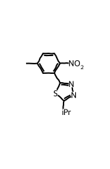 Cc1ccc([N+](=O)[O-])c(-c2nnc(C(C)C)s2)c1